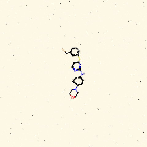 BrCc1cccc(Sc2ccnc(Nc3ccc(N4CCOCC4)cc3)n2)c1